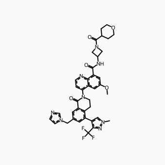 COc1cc(C(=O)NC2CN(C(=O)C3CCOCC3)C2)c2nccc(N3CCc4c(cc(Cn5ccnc5)cc4-c4cn(C)nc4C(F)(F)F)C3=O)c2c1